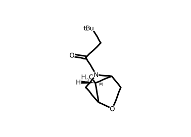 C[C@H]1C2CN(C(=O)CC(C)(C)C)C1CO2